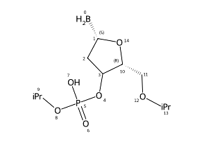 B[C@H]1CC(OP(=O)(O)OC(C)C)[C@@H](COC(C)C)O1